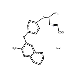 Cc1nc2ccccc2nc1Oc1ccc(OC(C)/C=C/C(=O)[O-])cc1.[Na+]